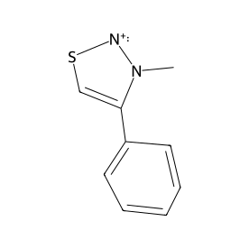 CN1[N+]SC=C1c1ccccc1